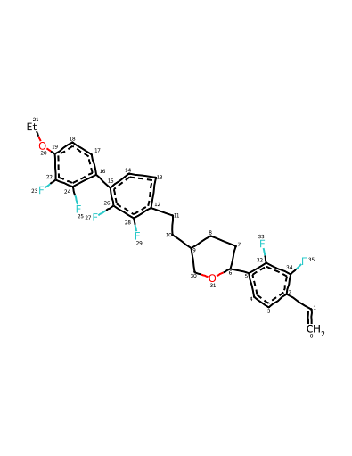 C=Cc1ccc(C2CCC(CCc3ccc(-c4ccc(OCC)c(F)c4F)c(F)c3F)CO2)c(F)c1F